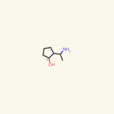 CC(N)C1CCC[C@@H]1O